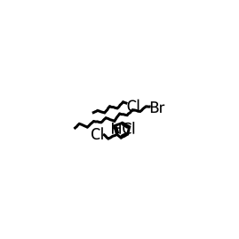 CCCCCCCCCCCCBr.CCCCCCCl.Cl.ClCc1ccccc1